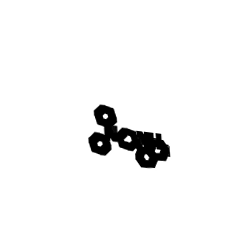 NC1(c2cccc3ccccc23)C=CC(N(c2ccccc2)c2ccccc2)=CC1